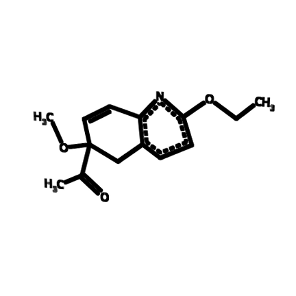 CCOc1ccc2c(n1)C=CC(OC)(C(C)=O)C2